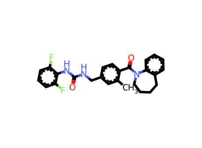 Cc1cc(CNC(=O)Nc2c(F)cccc2F)ccc1C(=O)N1CCCCc2ccccc21